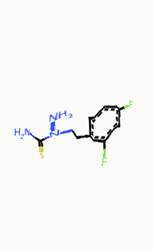 NC(=S)N(N)Cc1ccc(F)cc1F